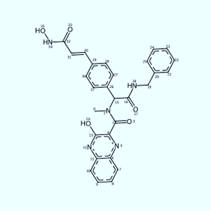 CN(C(=O)c1nc2ccccc2nc1O)C(C(=O)NCc1ccccc1)c1ccc(/C=C/C(=O)NO)cc1